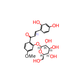 COc1ccc(C(=O)/C=C/c2ccc(O)cc2O)c(O[C@@H]2O[C@H](CO)[C@@H](O)[C@H](O)[C@H]2O)c1